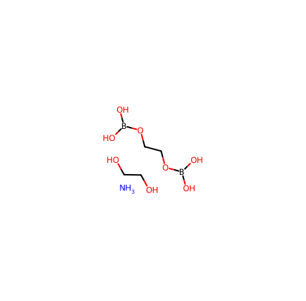 N.OB(O)OCCOB(O)O.OCCO